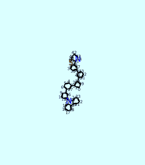 c1cc(-c2cccc(-c3cccc(-n4c5ccccc5c5ccccc54)c3)c2)cc(-c2cccc(-c3ccc4sc5cccnc5c4c3)c2)c1